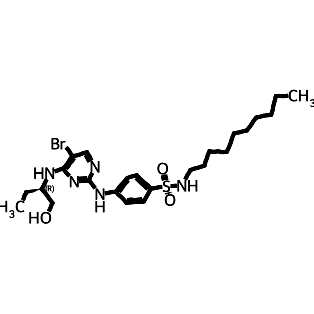 CCCCCCCCCCNS(=O)(=O)c1ccc(Nc2ncc(Br)c(N[C@H](CC)CO)n2)cc1